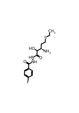 CCSCC[C@@H](N)C(O)C(=O)NNC(=O)c1ccc(F)cc1